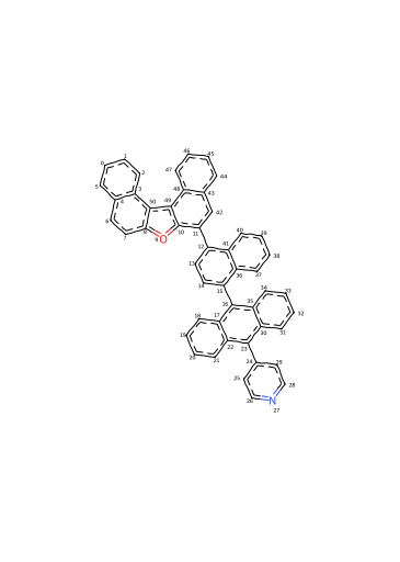 c1ccc2c(c1)ccc1oc3c(-c4ccc(-c5c6ccccc6c(-c6ccncc6)c6ccccc56)c5ccccc45)cc4ccccc4c3c12